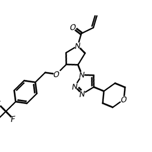 C=CC(=O)N1CC(OCc2ccc(C(F)(F)F)cc2)C(n2cc(C3CCOCC3)nn2)C1